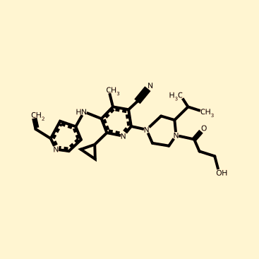 C=Cc1cc(Nc2c(C3CC3)nc(N3CCN(C(=O)CCO)C(C(C)C)C3)c(C#N)c2C)ccn1